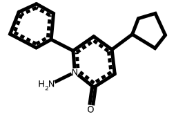 Nn1c(-c2ccccc2)cc(C2CCCC2)cc1=O